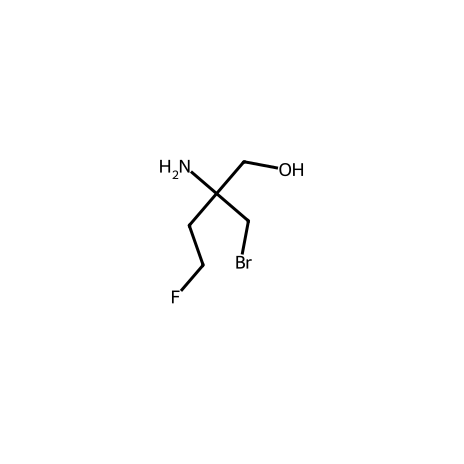 NC(CO)(CBr)CCF